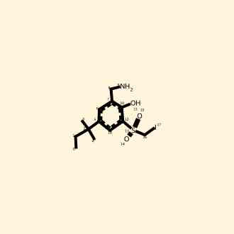 CCC(C)(C)c1cc(CN)c(O)c(S(=O)(=O)CI)c1